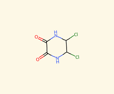 O=C1NC(Cl)C(Cl)NC1=O